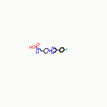 O=C(O)NCCC1CCN(c2ncc(-c3ccc(F)cc3)cn2)CC1